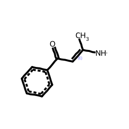 C/C([NH])=C\C(=O)c1ccccc1